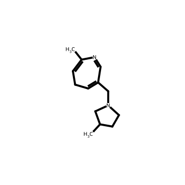 CC1=CCC=C(CN2CCC(C)C2)C=N1